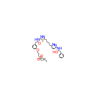 CS(=O)(=O)CCCOc1cccc(CC(=O)Nc2nnc(CCCCc3ccc(NC(O)Cc4ccccc4)nn3)s2)c1